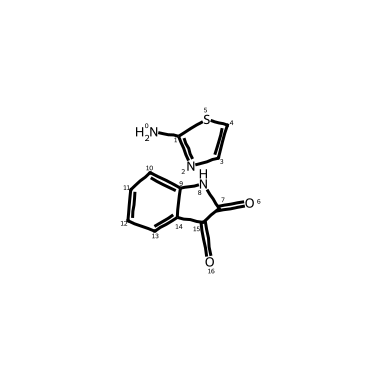 Nc1nccs1.O=C1Nc2ccccc2C1=O